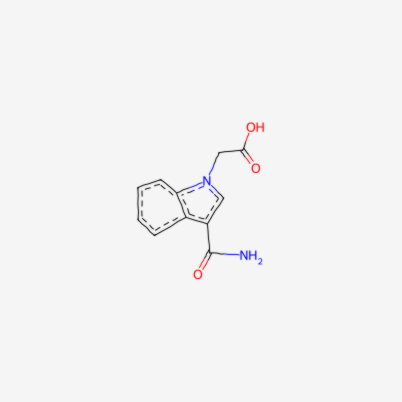 NC(=O)c1cn(CC(=O)O)c2ccccc12